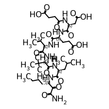 CCCC[C@H](NC(=O)[C@H](CC(C)C)NC(=O)[C@@H](NC(=O)[C@@H](NC(=O)[C@H](CCC(=O)O)NC(=O)[C@H](CC(=O)O)NC(=O)CCC(=O)O)C(C)C)C(C)(C)C)C(=O)C(N)=O